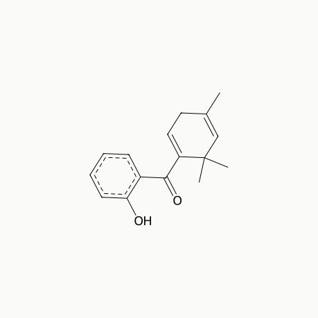 CC1=CC(C)(C)C(C(=O)c2ccccc2O)=CC1